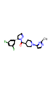 N#Cc1nccc(N2CCC(C(=O)N3N=CC[C@H]3c3cc(F)cc(F)c3)CC2)n1